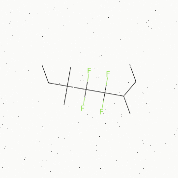 CCC(C)C(F)(F)C(F)(F)C(C)(C)CC